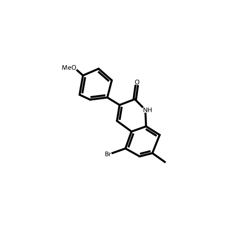 COc1ccc(-c2cc3c(Br)cc(C)cc3[nH]c2=O)cc1